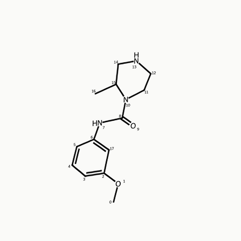 COc1cccc(NC(=O)N2CCNCC2C)c1